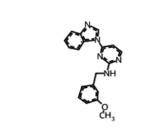 COc1cccc(CNc2nccc(-n3cnc4ccccc43)n2)c1